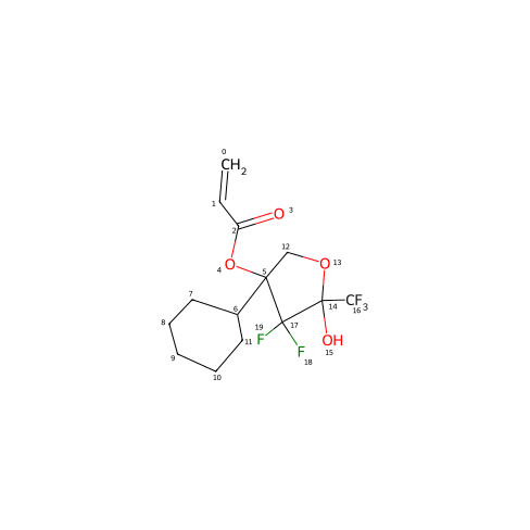 C=CC(=O)OC1(C2CCCCC2)COC(O)(C(F)(F)F)C1(F)F